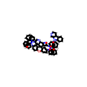 c1ccc2c(c1)c1ccccc1n2-c1ccc2c(c1)C1(c3cc(-n4c5ccccc5c5cc(-n6c7ccccc7c7ccncc76)ccc54)ccc3O2)c2cc(-n3c4ccccc4c4ccccc43)cnc2-c2ncc(-n3c4ccccc4c4ccccc43)cc21